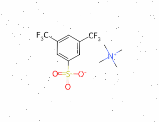 C[N+](C)(C)C.O=S(=O)([O-])c1cc(C(F)(F)F)cc(C(F)(F)F)c1